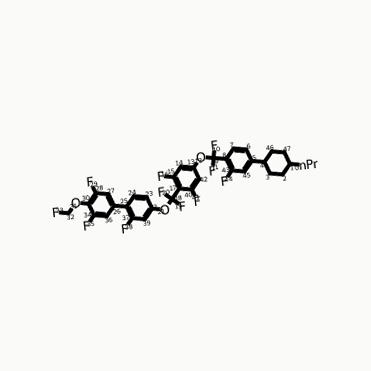 CCCC1CCC(c2ccc(C(F)(F)Oc3cc(F)c(C(F)(F)Oc4ccc(-c5cc(F)c(OCF)c(F)c5)c(F)c4)c(F)c3)c(F)c2)CC1